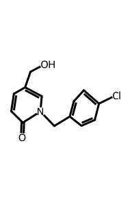 O=c1ccc(CO)cn1Cc1ccc(Cl)cc1